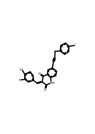 O=C1Nc2ccc(C#CCc3ccc(F)cc3)cc2C(=O)/C1=C\c1ccc(Cl)c(F)c1